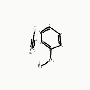 CCOc1ccccc1.[Li][C]#C